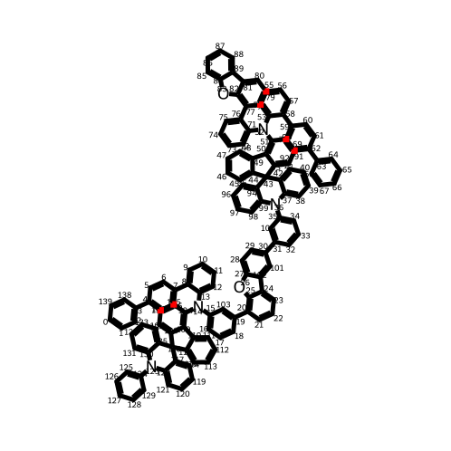 c1ccc(-c2ccc(-c3ccccc3N(c3cccc(-c4cccc5c4oc4ccc(-c6cccc(N7c8ccccc8C8(c9ccccc9-c9c(N(c%10ccccc%10-c%10ccc(-c%11ccccc%11)cc%10)c%10ccccc%10-c%10cccc%11c%10oc%10ccccc%10%11)cccc98)c8ccccc87)c6)cc45)c3)c3cccc4c3-c3ccccc3C43c4ccccc4N(c4ccccc4)c4ccccc43)cc2)cc1